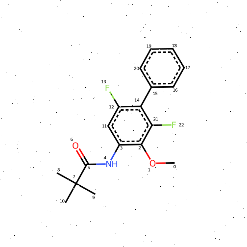 COc1c(NC(=O)C(C)(C)C)cc(F)c(-c2ccccc2)c1F